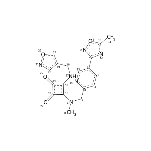 CN(Cc1ccc(-c2noc(C(F)(F)F)n2)cn1)c1c(NCc2cnoc2)c(=O)c1=O